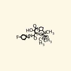 CN(C)S(=O)(=O)N(C)C1CCn2c1nc(C(=O)NCc1ccc(F)cc1)c(O)c2=O